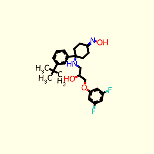 CC(C)(C)c1cccc(C2(NCC(O)COc3cc(F)cc(F)c3)CCC(=NO)CC2)c1